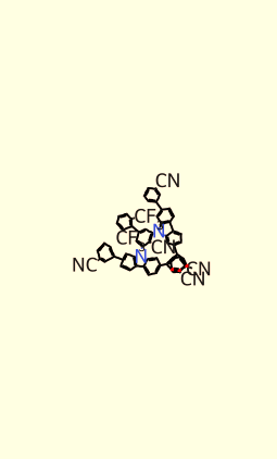 N#Cc1cccc(-c2ccc3c4ccc(-c5cccc(C#N)c5)cc4n(-c4cc(-c5c(C(F)(F)F)cccc5C(F)(F)F)cc(-n5c6cc(-c7cccc(C#N)c7)ccc6c6ccc(-c7cccc(C#N)c7)cc65)c4C#N)c3c2)c1